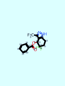 O=C(O[C@H]1c2c(C(F)(F)F)n[nH]c2CCC1(F)F)c1ccccc1